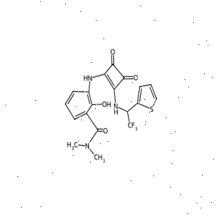 CN(C)C(=O)c1cccc(Nc2c(NC(c3cccs3)C(F)(F)F)c(=O)c2=O)c1O